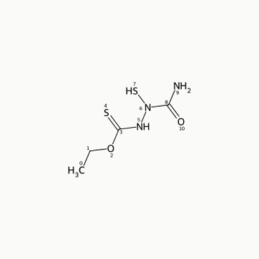 CCOC(=S)NN(S)C(N)=O